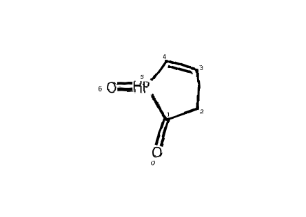 O=C1CC=C[PH]1=O